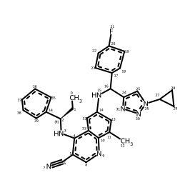 CC[C@@H](Nc1c(C#N)cnc2c(C)cc(NC(c3ccc(F)cc3)c3cn(C4CC4)nn3)cc12)c1ccccc1